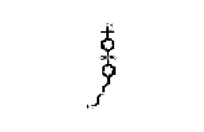 CC(C)(O)c1ccc(S(=O)(=O)c2ccc(CCOCCO)cc2)cc1